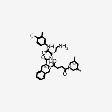 Cc1cc(NC(=O)[C@H](CCN)NC(=O)[C@@H]2Cc3ccccc3CN2C(=O)CCC(=O)N2C[C@H](C)C[C@H](C)C2)ccc1Cl